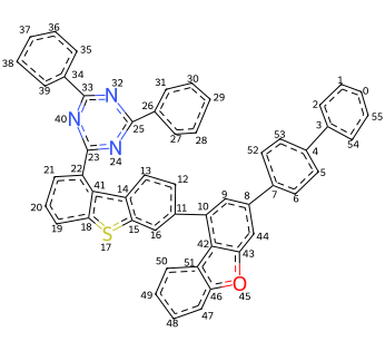 c1ccc(-c2ccc(-c3cc(-c4ccc5c(c4)sc4cccc(-c6nc(-c7ccccc7)nc(-c7ccccc7)n6)c45)c4c(c3)oc3ccccc34)cc2)cc1